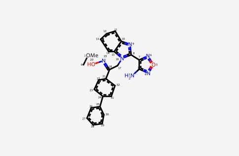 COC.Nc1nonc1-c1nc2ccccc2n1CC(=NO)c1ccc(-c2ccccc2)cc1